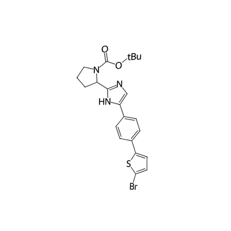 CC(C)(C)OC(=O)N1CCCC1c1ncc(-c2ccc(-c3ccc(Br)s3)cc2)[nH]1